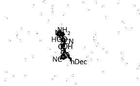 CCCCCCCCCCCCCCOC[C@H](COP(=O)(O)OC[C@]1(C#N)C[C@@H](O)[C@H](c2ccc3c(N)ncnn23)O1)Oc1cc(C#N)ccn1